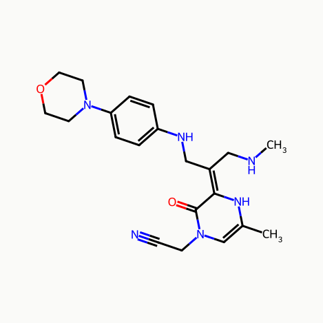 CNC/C(CNc1ccc(N2CCOCC2)cc1)=C1\NC(C)=CN(CC#N)C1=O